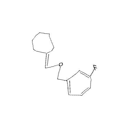 Fc1cccc(COC=C2CCCCC2)c1